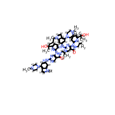 C=CCn1c(=O)c2cnc(Nc3cc(N4CCN(C)CC4)c4ccn(C(C)CCC(C)(O)c5cccc(-n6c7nc(Nc8cc(N9CCN(C)CC9)c9ccn(CC)c9c8)ncc7c(=O)n6CC=C)n5)c4c3)nc2n1-c1cccc(C(C)(C)O)n1